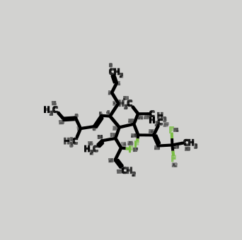 C=CCCC(/C=C/C(C)/C=C/C)C(C(C=C)C(F)C=C)C(C(C)C)C(F)/C(C)=C/C(C)(F)F